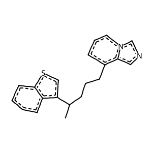 CC(CCCc1cccn2cncc12)c1csc2ccccc12